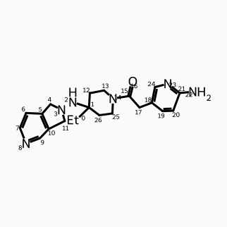 CCC1(NN2Cc3ccncc3C2)CCN(C(=O)Cc2ccc(N)nc2)CC1